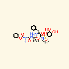 CC(C)CN(C[C@@H](O)[C@H](Cc1ccccc1)NC(=O)[C@@H](NC(=O)CNC(=O)Oc1ccccc1)C(C)(C)C)S(=O)(=O)c1ccc(O)c(O)c1